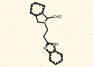 O=CC1c2ccccc2CN1CCc1nc2ccccc2[nH]1